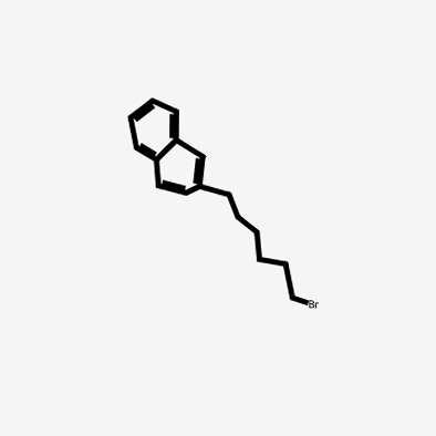 BrCCCCCCc1[c]c2ccccc2cc1